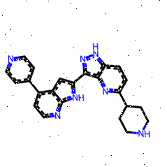 c1cc(-c2ccnc3[nH]c(-c4n[nH]c5ccc(C6CCNCC6)nc45)cc23)ccn1